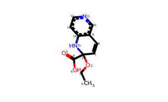 CCOC1(C(=O)O)C=Cc2cnccc2N1